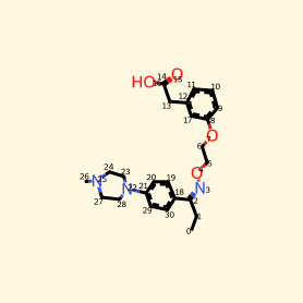 CCC(=NOCCOc1cccc(CC(=O)O)c1)c1ccc(N2CCN(C)CC2)cc1